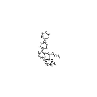 COc1cc2c(N3CCN(c4ccccn4)CC3)ncnc2c(OC)c1OC